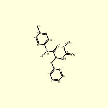 CC(C)(C)OC(=O)NC(Cc1ccccn1)C(=O)N(F)c1ccc(I)cc1